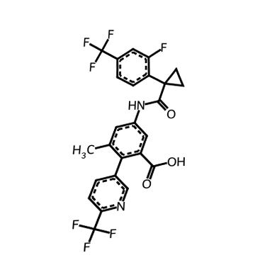 Cc1cc(NC(=O)C2(c3ccc(C(F)(F)F)cc3F)CC2)cc(C(=O)O)c1-c1ccc(C(F)(F)F)nc1